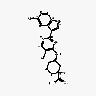 C[C@@]1(C(=O)O)CCCC(Nc2nc(-c3c[nH]c4ncc(Cl)cc34)ncc2F)C1